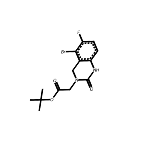 CC(C)(C)OC(=O)CN1Cc2c(ccc(F)c2Br)NC1=O